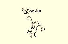 C=C(/C=C\CC)/N=C\NC1CC(C(=O)OC)C1